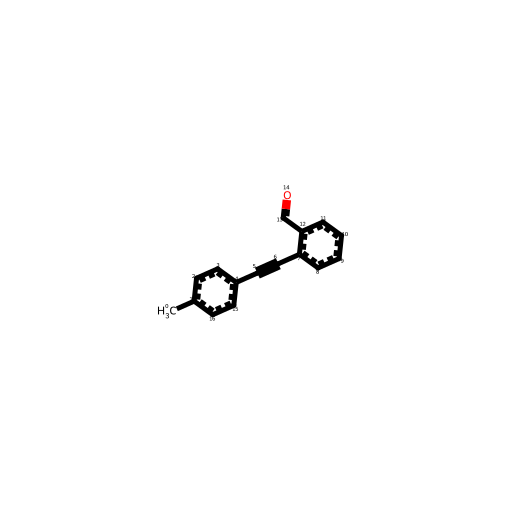 Cc1ccc(C#Cc2ccccc2C=O)cc1